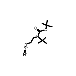 CC(C)(C)OC(=O)N(CCN=[N+]=[N-])C(C)(C)C